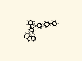 C1=CC2Cc3ccccc3C2C(c2ccc3c(c2)c2ccccc2n3-c2ccc(-c3ccc(-c4ccccc4)cc3)cc2)=C1